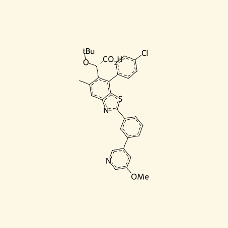 COc1cncc(-c2cccc(-c3nc4cc(C)c([C@H](OC(C)(C)C)C(=O)O)c(-c5ccc(Cl)cc5)c4s3)c2)c1